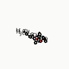 CC(C)(C)c1ccc(-c2ccc3c(c2)C(C)(C)c2ccc(-c4ccccc4N(c4cccc(-c5cccc6oc7ccccc7c56)c4)c4cccc5c4C(C)(C)c4ccccc4-5)cc2-3)cc1